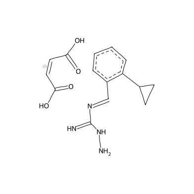 N=C(N=Cc1ccccc1C1CC1)NN.O=C(O)/C=C\C(=O)O